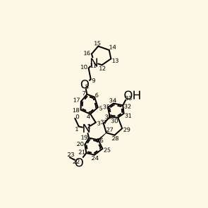 CCN(Cc1ccc(OCCN2CCCCC2)cc1)c1cc(OC)ccc1[C@@H]1CCc2cc(O)ccc2C1